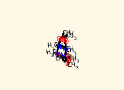 C=Cc1c(C)c2cc3nc(cc4[nH]c(cc5nc(cc1[nH]2)C(C)=C5CCC(=O)OCCCC)c(CCC(=O)OCCCC)c4C)C1(C)C3=CCC(C(=O)OC)=C1C(=O)OC